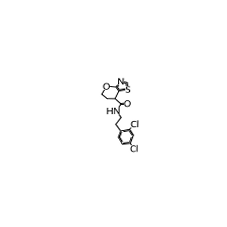 O=C(NCCc1ccc(Cl)cc1Cl)C1CCOc2ncsc21